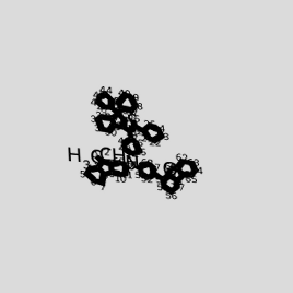 CC1(C)c2ccccc2-c2ccc(N(c3ccc(-c4c(-c5ccccc5)sc5c4-c4ccccc4C5(c4ccccc4)c4ccccc4)cc3)c3ccc(-c4cccc5c4oc4ccccc45)cc3)cc21